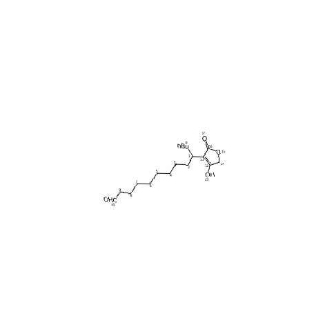 CCCCC(CCCCCCCCC=O)C1=C(O)COC1=O